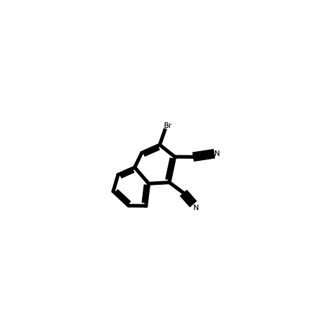 N#Cc1c(Br)cc2ccccc2c1C#N